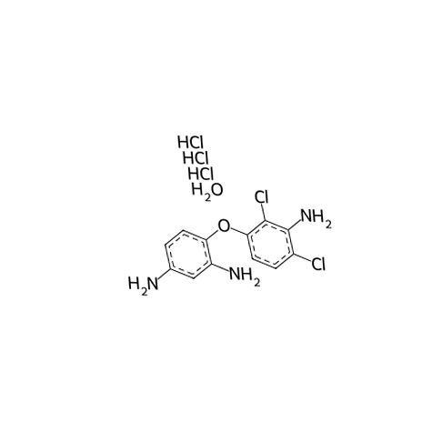 Cl.Cl.Cl.Nc1ccc(Oc2ccc(Cl)c(N)c2Cl)c(N)c1.O